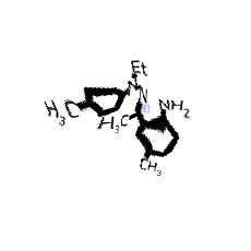 CCN(/N=C(\C)c1cc(C)ccc1N)c1ccc(C)cc1